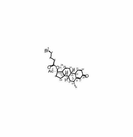 CC(=O)[C@@]1(OC(=O)CCCBr)CC[C@H]2[C@@H]3C[C@H](C)C4=CC(=O)CC[C@]4(C)[C@H]3CC[C@@]21C